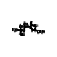 CC(O[Si](C)(C)C(C)(C)C)c1cc(C(=O)O)n[nH]1